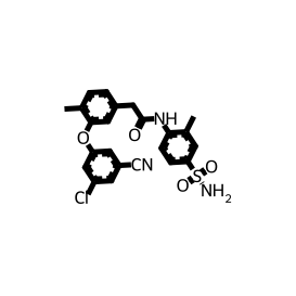 Cc1cc(S(N)(=O)=O)ccc1NC(=O)Cc1ccc(C)c(Oc2cc(Cl)cc(C#N)c2)c1